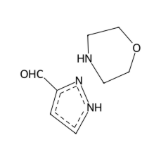 C1COCCN1.O=Cc1cc[nH]n1